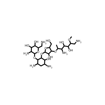 COC(CN)C(O)C(O)C(N)C(C)OC1C(CO)OC(OC2C(O)C(N)CC(N)C2OC2OC(CN)C(O)C(O)C2N)C1O